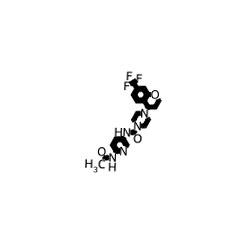 CC(=O)Nc1ccc(NC(=O)N2CCN(C3CCOc4cc(C(F)(F)F)ccc43)CC2)cn1